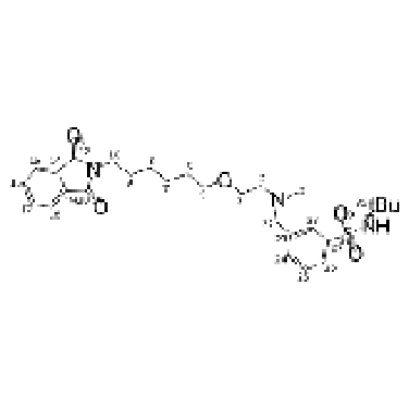 CN(CCOCCCCCCN1C(=O)c2ccccc2C1=O)Cc1cccc(S(=O)(=O)NC(C)(C)C)c1